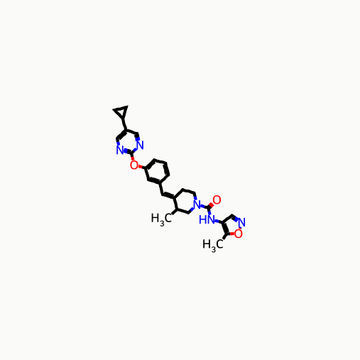 Cc1oncc1NC(=O)N1CC/C(=C\c2cccc(Oc3ncc(C4CC4)cn3)c2)C(C)C1